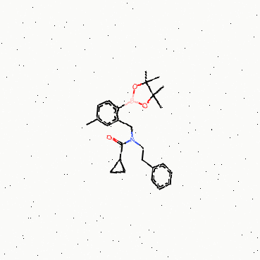 Cc1ccc(B2OC(C)(C)C(C)(C)O2)c(CN(CCc2ccccc2)C(=O)C2CC2)c1